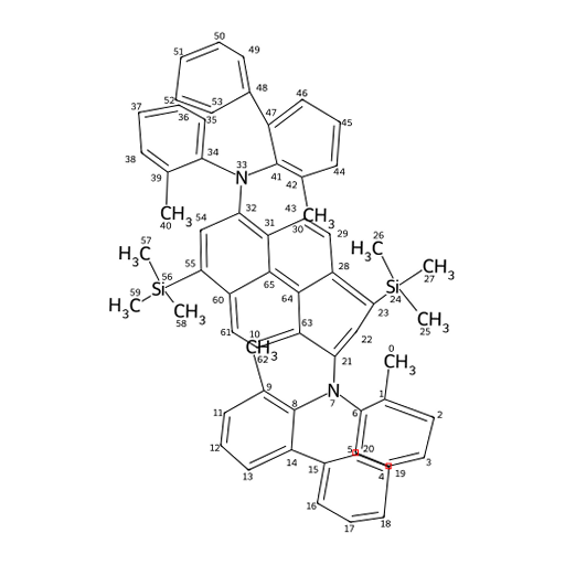 Cc1ccccc1N(c1c(C)cccc1-c1ccccc1)c1cc([Si](C)(C)C)c2ccc3c(N(c4ccccc4C)c4c(C)cccc4-c4ccccc4)cc([Si](C)(C)C)c4ccc1c2c34